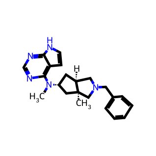 CN(c1ncnc2[nH]ccc12)[C@@H]1C[C@H]2CN(Cc3ccccc3)C[C@@]2(C)C1